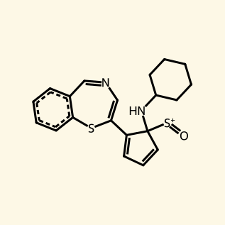 O=[S+]C1(NC2CCCCC2)C=CC=C1C1=CN=Cc2ccccc2S1